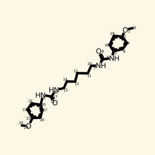 COc1ccc(NC(=O)NCCCCCCNC(=O)Nc2ccc(OC)cc2)cc1